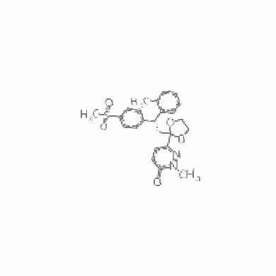 Cc1ccccc1[C@H](CC1(c2ccc(=O)n(C)n2)OCCO1)c1ccc(S(C)(=O)=O)cc1